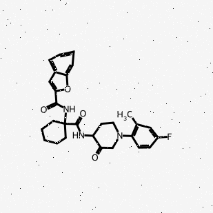 Cc1cc(F)ccc1N1CCC(NC(=O)C2(NC(=O)c3cc4ccccc4o3)CCCCC2)C(=O)C1